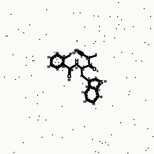 CN(C#N)C(=O)C(Cc1csc2ccccc12)NC(=O)c1ccccc1F